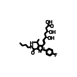 CCCCNC(=O)c1nn(-c2ccc(F)cc2)c(C=C[C@H](O)C[C@@H](O)CC(=O)O)c1C(C)C